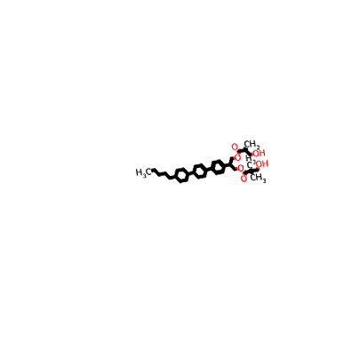 C=C(CO)C(=O)OCC(COC(=O)C(C)(C)CO)c1ccc(C2=CCC(C3CCC(CCCCC)CC3)CC2)cc1